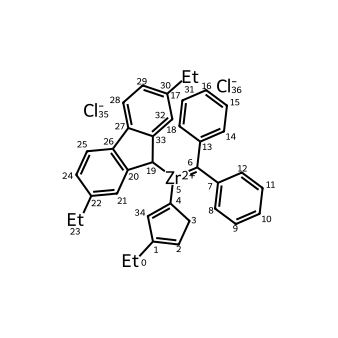 CCC1=CC[C]([Zr+2](=[C](c2ccccc2)c2ccccc2)[CH]2c3cc(CC)ccc3-c3ccc(CC)cc32)=C1.[Cl-].[Cl-]